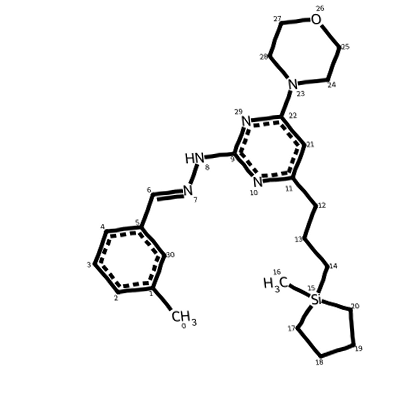 Cc1cccc(C=NNc2nc(CCC[Si]3(C)CCCC3)cc(N3CCOCC3)n2)c1